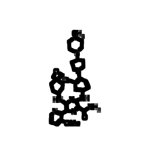 CCc1cc(Nc2nc(NC3CCC4(CC3)COC4)c(-c3ncccc3OC)nc2C(N)=O)ccc1N1CCC(N2CCN(C)CC2)CC1